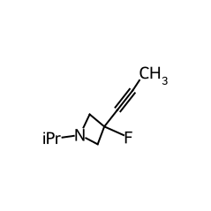 CC#CC1(F)CN(C(C)C)C1